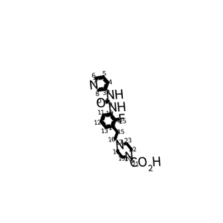 O=C(Nc1cccnc1)Nc1cccc(CCN2CCN(C(=O)O)CC2)c1F